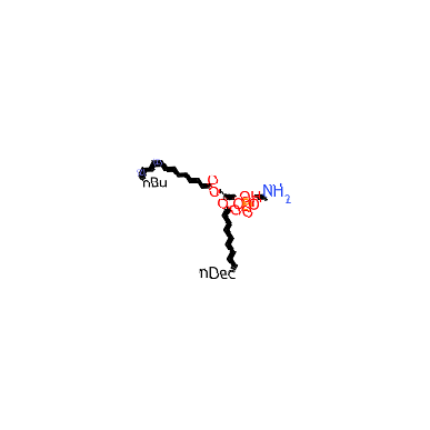 CCCC/C=C\C/C=C\CCCCCCCC(=O)OC[C@H](COP(=O)(O)OCCN)OC(=O)CCCCCCCCCCCCCCCCCC